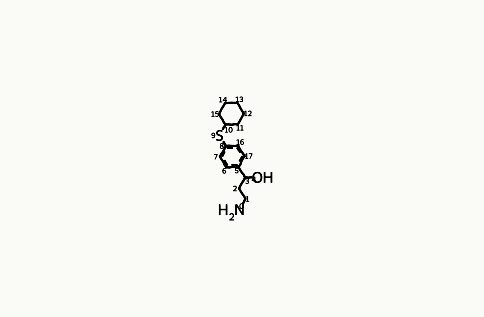 NCCC(O)c1ccc(SC2CCCCC2)cc1